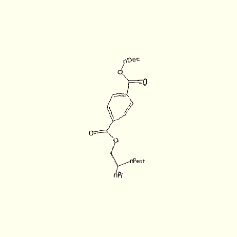 CCCCCCCCCCOC(=O)c1ccc(C(=O)OCC(CCC)CCCCC)cc1